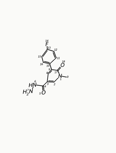 Cn1cc(C(=O)NN)cc(-c2ccc(F)cc2)c1=O